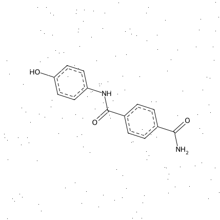 NC(=O)c1ccc(C(=O)Nc2ccc(O)cc2)cc1